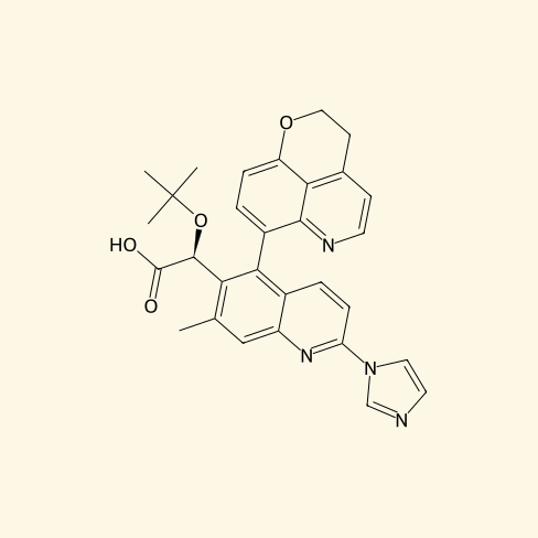 Cc1cc2nc(-n3ccnc3)ccc2c(-c2ccc3c4c(ccnc24)CCO3)c1[C@H](OC(C)(C)C)C(=O)O